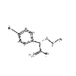 C=C(C(C)C)[C@@H](CNC(C)C)c1ccc(Br)cn1